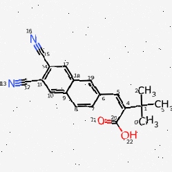 CC(C)(C)C(=Cc1ccc2cc(C#N)c(C#N)cc2c1)C(=O)O